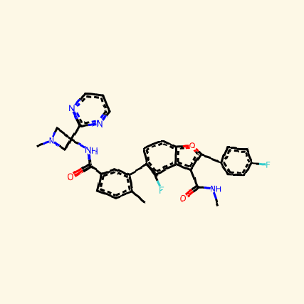 CNC(=O)c1c(-c2ccc(F)cc2)oc2ccc(-c3cc(C(=O)NC4(c5ncccn5)CN(C)C4)ccc3C)c(F)c12